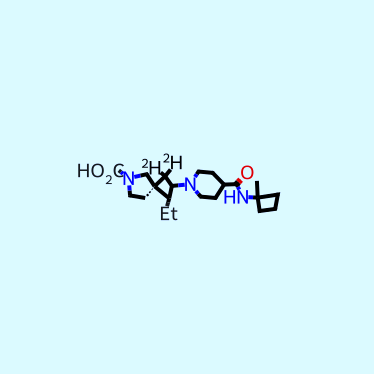 [2H]C1([2H])C(N2CCC(C(=O)NC3(C)CCC3)CC2)C(CC)[C@]12CCN(C(=O)O)C2